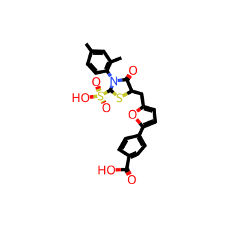 Cc1ccc(N2C(=O)C(Cc3ccc(-c4ccc(C(=O)O)cc4)o3)SC2S(=O)(=O)O)c(C)c1